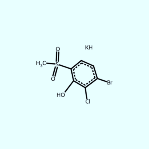 CS(=O)(=O)c1ccc(Br)c(Cl)c1O.[KH]